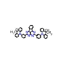 CC1(C)c2ccccc2N(c2cccc(-c3nc4c5c(nc(-c6cccc(N7c8ccccc8C(C)(C)c8ccccc87)c6)nc5n3)-c3ccccc3-4)c2)c2ccccc21